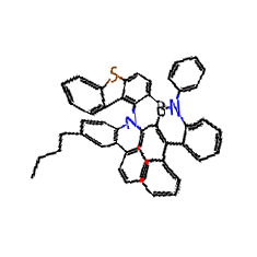 CCCCc1ccc(N2c3cc4ccccc4c4c3B(c3ccc5sc6ccccc6c5c32)N(c2ccccc2)c2ccccc2-4)c(-c2ccccc2)c1